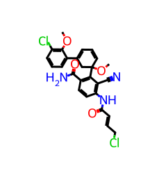 COc1c(Cl)cccc1C1=CC=CC(OC)(c2c(C(N)=O)ccc(NC(=O)C=CCCl)c2C#N)C1